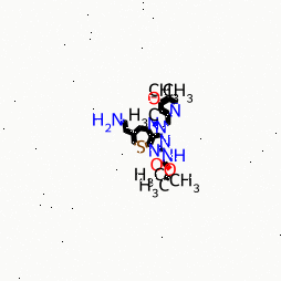 COc1c(C)cnc(Cn2nc3c4c(nc(NC(=O)OC(C)(C)C)nc42)SCC(CCN)C3)c1C